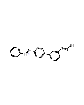 SN=Nc1cccc(-c2ccc(/N=N/c3ccccc3)cc2)c1